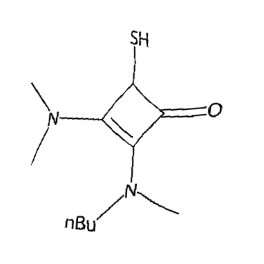 CCCCN(C)C1=C(N(C)C)C(S)C1=O